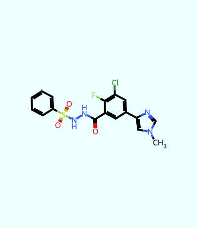 Cn1cnc(-c2cc(Cl)c(F)c(C(=O)NNS(=O)(=O)c3c[c]ccc3)c2)c1